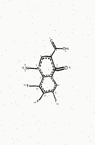 Nn1cc(C(=O)O)c(=O)c2cc(F)c(F)c(F)c21